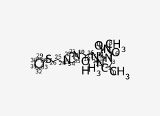 CC(C)Cn1c(=O)n(C)c(=O)c2c1ncn2CC(O)CN1CCN(CCCSc2ccccc2)CC1